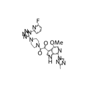 COc1cnc(-n2cnc(C)n2)c2[nH]cc(C(=O)C(=O)N3CCN(c4nnnn4-c4cccc(F)n4)CC3)c12